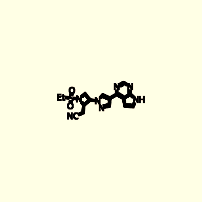 CCS(=O)(=O)N1CC(n2cc(-c3ncnc4[nH]ccc34)cn2)C1CC#N